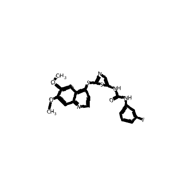 COc1cc2nccc(Sc3ncc(NC(=O)Nc4cccc(F)c4)s3)c2cc1OC